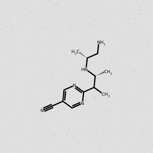 CC(c1ncc(C#N)cn1)[C@@H](C)N[C@H](C)CN